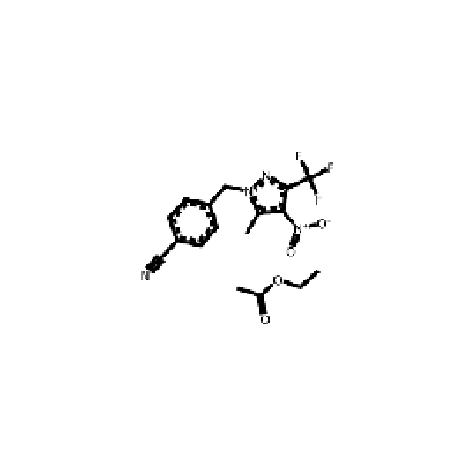 CCOC(C)=O.Cc1c([N+](=O)[O-])c(C(F)(F)F)nn1Cc1ccc(C#N)cc1